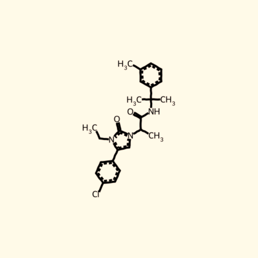 CCn1c(-c2ccc(Cl)cc2)cn(C(C)C(=O)NC(C)(C)c2cccc(C)c2)c1=O